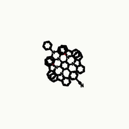 N#Cc1ccc(-c2c(-n3c4ccccc4c4ccccc43)c(-n3c4ccccc4c4ccccc43)c(N3c4ccccc4N(c4ccccc4)c4ccccc43)c(-n3c4ccccc4c4ccccc43)c2-n2c3ccccc3c3ccccc32)cc1